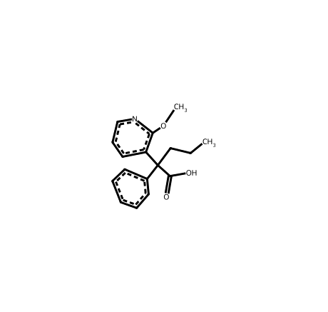 CCCC(C(=O)O)(c1ccccc1)c1cccnc1OC